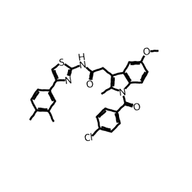 COc1ccc2c(c1)c(CC(=O)Nc1nc(-c3ccc(C)c(C)c3)cs1)c(C)n2C(=O)c1ccc(Cl)cc1